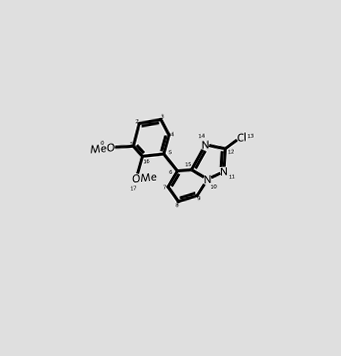 COc1cccc(-c2cccn3nc(Cl)nc23)c1OC